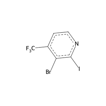 FC(F)(F)c1ccnc(I)c1Br